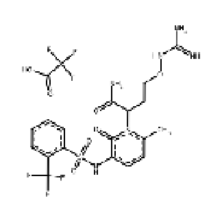 Cc1ccc(NS(=O)(=O)c2ccccc2C(F)(F)F)c(=O)n1C(CCONC(=N)N)C(N)=O.O=C(O)C(F)(F)F